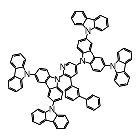 c1ccc(-c2cccc(-c3cc(-n4c5ccc(-n6c7ccccc7c7ccccc76)cc5c5cc(-n6c7ccccc7c7ccccc76)ccc54)cnc3-n3c4ccc(-n5c6ccccc6c6ccccc65)cc4c4cc(-n5c6ccccc6c6ccccc65)ccc43)c2)cc1